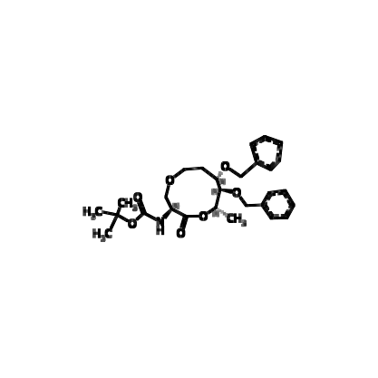 C[C@@H]1OC(=O)[C@@H](NC(=O)OC(C)(C)C)COCC[C@H](OCc2ccccc2)[C@H]1OCc1ccccc1